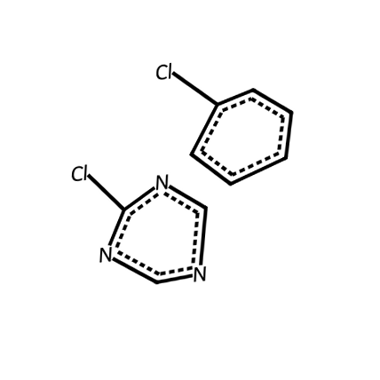 Clc1ccccc1.Clc1ncncn1